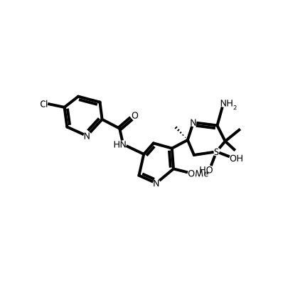 COc1ncc(NC(=O)c2ccc(Cl)cn2)cc1[C@]1(C)CS(O)(O)C(C)(C)C(N)=N1